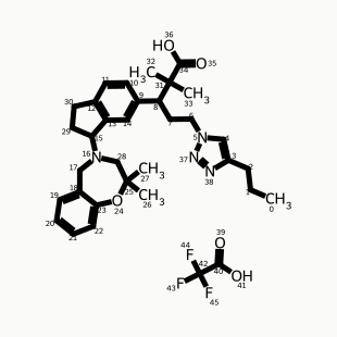 CCCc1cn(CCC(c2ccc3c(c2)C(N2Cc4ccccc4OC(C)(C)C2)CC3)C(C)(C)C(=O)O)nn1.O=C(O)C(F)(F)F